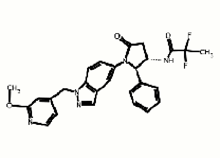 COc1cc(Cn2ncc3cc(N4C(=O)C[C@H](NC(=O)C(C)(F)F)[C@H]4c4ccccc4)ccc32)ccn1